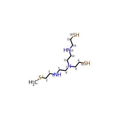 CSCCNCCN(CCS)CCNCCS